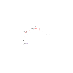 CC(C)CCCOC(C)(C)CCOC(C)(C)CCCC(C)I